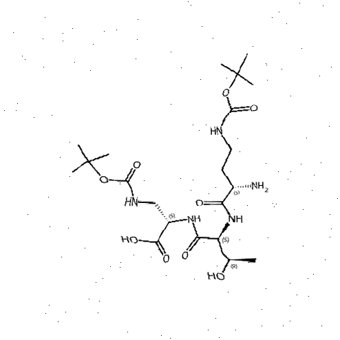 C[C@@H](O)[C@H](NC(=O)[C@@H](N)CCNC(=O)OC(C)(C)C)C(=O)N[C@@H](CNC(=O)OC(C)(C)C)C(=O)O